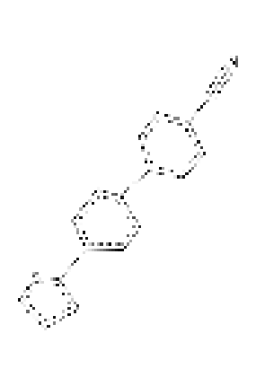 N#Cc1ccc(-c2ccc(-c3cccs3)cc2)cc1